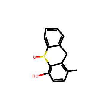 Cc1ccc(O)c2c1Cc1ccccc1[S+]2[O-]